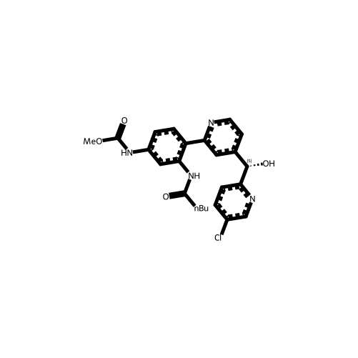 [CH2]CCCC(=O)Nc1cc(NC(=O)OC)ccc1-c1cc([C@H](O)c2ccc(Cl)cn2)ccn1